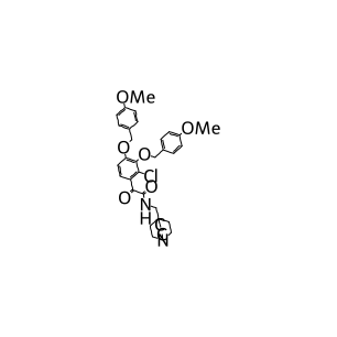 COc1ccc(COc2ccc(C(=O)C(=O)NCC34CCN(CC3)CC4)c(Cl)c2OCc2ccc(OC)cc2)cc1